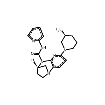 O=C(Nc1ccccn1)N1c2nc(N3CCC[C@H](C(F)(F)F)C3)ccc2N2CC[C@H]1C2